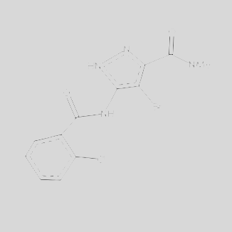 CNC(=O)c1n[nH]c(NC(=O)c2ccccc2Cl)c1Br